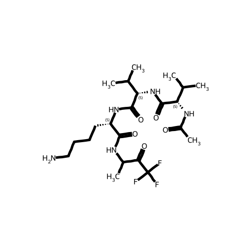 CC(=O)N[C@H](C(=O)N[C@H](C(=O)N[C@@H](CCCCN)C(=O)NC(C)C(=O)C(F)(F)F)C(C)C)C(C)C